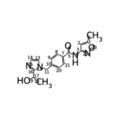 Cc1cc(NC(=O)c2ccc(Cn3ccnc3C(C)O)cc2)no1